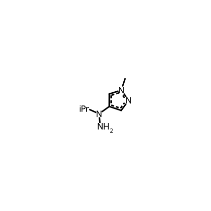 CC(C)N(N)c1cnn(C)c1